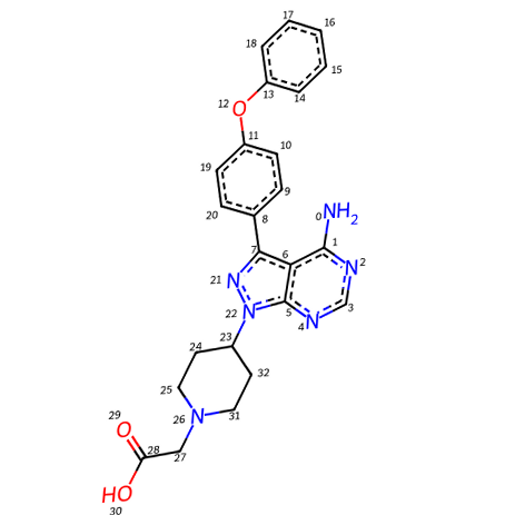 Nc1ncnc2c1c(-c1ccc(Oc3ccccc3)cc1)nn2C1CCN(CC(=O)O)CC1